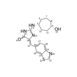 O=C1NC(N[C@@H]2CCC[C@H](O)CC2)=N/C1=C\c1ccc2ncsc2c1